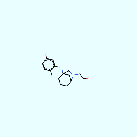 O=[N+]([O-])c1ccc(Br)cc1NC12CCCC(C1)N(CCO)C2